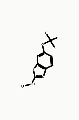 CNc1nc2ccc(OC(F)(F)F)cc2s1